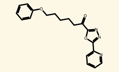 O=C(CCCCCOc1ccccc1)c1nnc(-c2ccccn2)o1